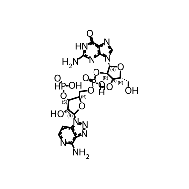 Nc1nc2c(ncn2[C@@H]2O[C@H](CO)[C@@H](O)[C@H]2OP(=O)(O)OC[C@H]2O[C@@H](n3nnc4c(N)nccc43)[C@H](O)[C@@H]2O[PH](=O)O)c(=O)[nH]1